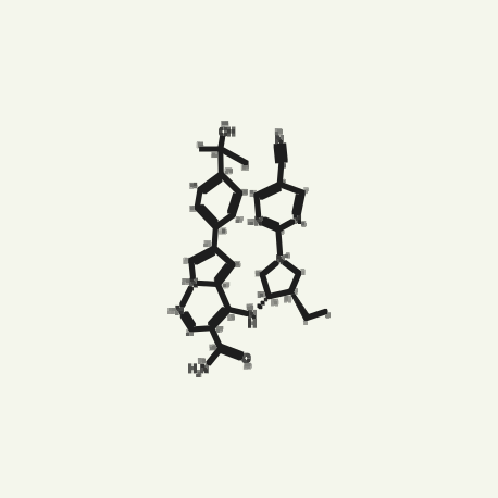 CC[C@@H]1CN(c2ncc(C#N)cn2)C[C@H]1Nc1c(C(N)=O)cnn2cc(-c3ccc(C(C)(C)O)cc3)cc12